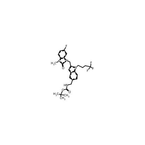 Cn1c(=O)n(Cc2cc3cc(CNC(=O)OC(C)(C)C)ccc3n2CCCC(F)(F)F)c2cc(F)ccc21